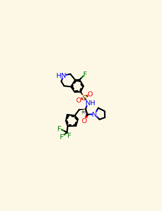 O=C([C@@H](Cc1ccc(C(F)(F)F)cc1)NS(=O)(=O)c1cc(F)c2c(c1)CCNC2)N1CCCC1